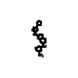 Cc1cncc(Nc2cnc3ccc(Nc4nnc(C5CCCC5)s4)nc3c2)c1